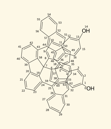 Oc1ccc2cc(C3(c4ccc5cc(O)ccc5c4)c4c(cccc4-c4c5ccccc5cc5ccccc45)-c4cccc(-c5c6ccccc6cc6ccccc56)c43)ccc2c1